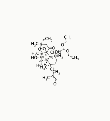 C=C[C@@]1(C)CC(=O)[C@]2(O)[C@@]3(C)[C@@H](O)CCC(C)(C)[C@@H]3[C@H](O)[C@H](O)[C@@]2(C)O1.CCOC(C)OCC.CN(C)C=O